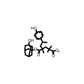 COC(=O)C(C)(C)CC(C)(CC(C)c1ccc(O)cc1)C(=O)OC12CC3CC(CC(O)(C3)C1)C2